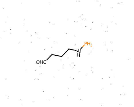 O=CCC[CH2][AlH][PH2]